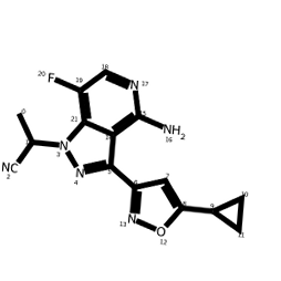 CC(C#N)n1nc(-c2cc(C3CC3)on2)c2c(N)ncc(F)c21